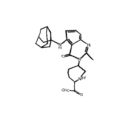 Cc1nc2cccc(NC34CC5CC(CC(C5)C3)C4)c2c(=O)n1C1CCC(C(=O)C=O)NC1